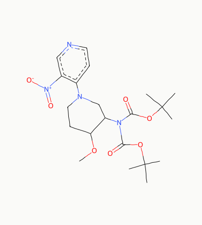 COC1CCN(c2ccncc2[N+](=O)[O-])CC1N(C(=O)OC(C)(C)C)C(=O)OC(C)(C)C